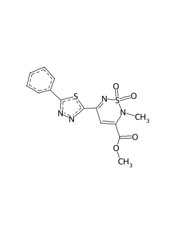 COC(=O)C1=CC(c2nnc(-c3ccccc3)s2)=NS(=O)(=O)N1C